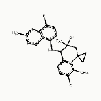 COc1c(Cl)ccc2c1C1(CC1)CC(O)(C(F)(F)F)C2Nc1ccc(F)c2nc(C)ncc12